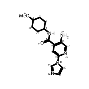 COC1CCC(NC(=O)c2cc(-n3ccnc3)ncc2N)CC1